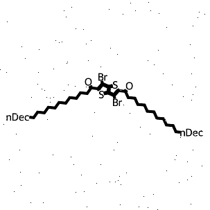 CCCCCCCCCCCCCCCCCCCCCC(=O)c1sc2c(Br)c(C(=O)CCCCCCCCCCCCCCCCCCCCC)sc2c1Br